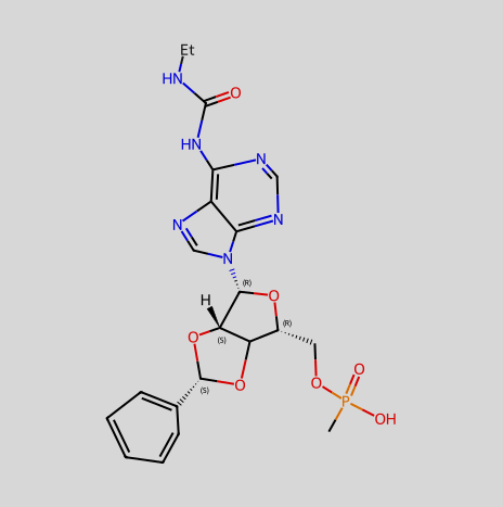 CCNC(=O)Nc1ncnc2c1ncn2[C@@H]1O[C@H](COP(C)(=O)O)C2O[C@H](c3ccccc3)O[C@@H]21